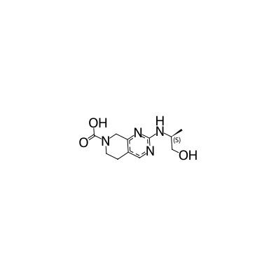 C[C@@H](CO)Nc1ncc2c(n1)CN(C(=O)O)CC2